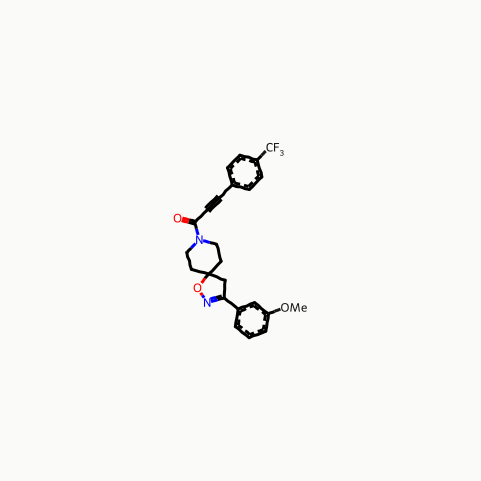 COc1cccc(C2=NOC3(CCN(C(=O)C#Cc4ccc(C(F)(F)F)cc4)CC3)C2)c1